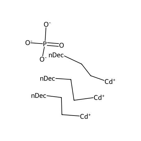 CCCCCCCCCCC[CH2][Cd+].CCCCCCCCCCC[CH2][Cd+].CCCCCCCCCCC[CH2][Cd+].O=P([O-])([O-])[O-]